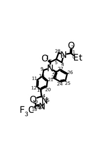 CCC(=O)N1CC(C(=O)N(Cc2ccc(-c3nnc(C(F)(F)F)o3)cc2)c2ccccc2)C1